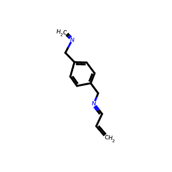 C=C/C=N/Cc1ccc(CN=C)cc1